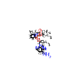 CC(C)OC(=O)[C@H](C)NP(=O)(CO[C@H](C)Cn1cnc2c(N)ccnc21)Oc1ccccc1